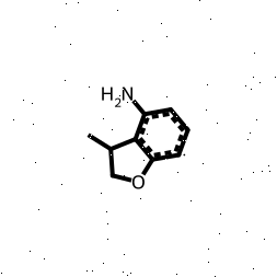 CC1COc2[c]ccc(N)c21